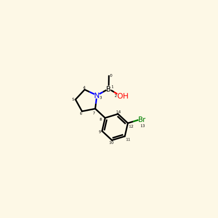 CB(O)N1CCCC1c1cccc(Br)c1